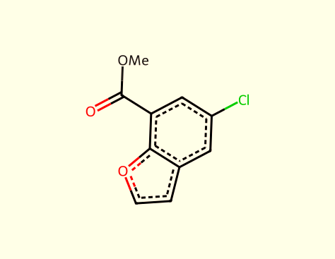 COC(=O)c1cc(Cl)cc2ccoc12